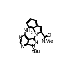 CNC(=O)c1cc2ccccc2n1-c1nn(C(C)(C)C)c2ncnc(N)c12